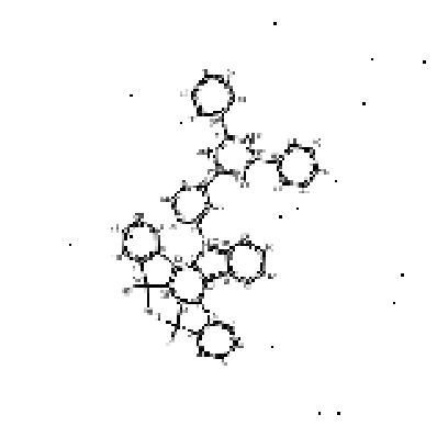 CC1(C)c2ccccc2-c2c1c1c(c3c2c2ccccc2n3-c2cccc(-c3nc(-c4ccccc4)nc(-c4ccccc4)n3)c2)-c2ccccc2C1(C)C